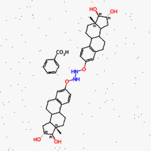 C[C@]12CCC3c4ccc(ONNOc5ccc6c(c5)CCC5C6CC[C@@]6(C)C5C[C@@H](O)[C@@H]6O)cc4CCC3C1C[C@@H](O)[C@@H]2O.O=C(O)c1ccccc1